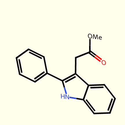 COC(=O)Cc1c(-c2ccccc2)[nH]c2ccccc12